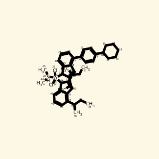 CCC1=Cc2c(-c3ccc(C4CCCCC4)cc3)cccc2[CH]1[Zr]([Cl])([Cl])([CH]1C(C(C)CC)=Cc2c(C(C)CC)cccc21)[SiH](C)C